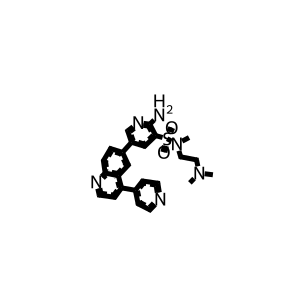 CN(C)CCN(C)S(=O)(=O)c1cc(-c2ccc3nccc(-c4ccncc4)c3c2)cnc1N